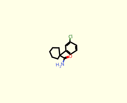 NC(=O)C1(c2cccc(Cl)c2)CCCCC1